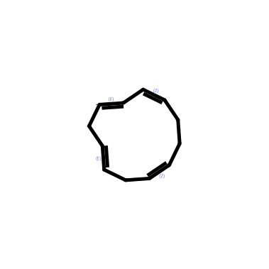 [C]1=C/C=C\CC/C=C\C/C=C/C/1